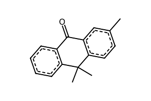 Cc1ccc2c(c1)C(=O)c1ccccc1C2(C)C